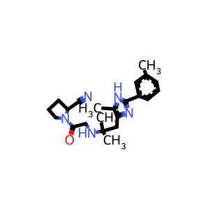 Cc1cccc(-c2nc(CC(C)(C)NCC(=O)N3CCCC3C#N)c(C)[nH]2)c1